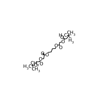 CC(C)(C)CC(=O)OCC(=O)OCCCCOC(=O)COC(=O)COC(C)(C)C